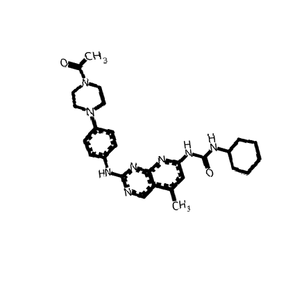 CC(=O)N1CCN(c2ccc(Nc3ncc4c(C)cc(NC(=O)NC5CCCCC5)nc4n3)cc2)CC1